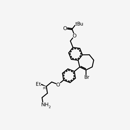 CC[C@H](CCN)COc1ccc(C2=C(Br)CCCc3cc(COC(=O)C(C)(C)C)ccc32)cc1